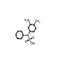 Cc1ccc(N(c2ccccc2)S(=O)(=O)O)cc1N